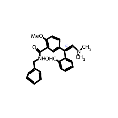 COc1ccc(/C(=C/N(C)C)c2ccccc2C=O)cc1C(=O)NCc1ccccc1